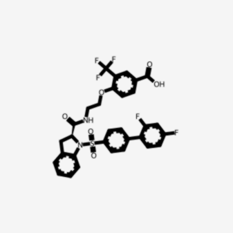 O=C(O)c1ccc(OCCNC(=O)[C@@H]2Cc3ccccc3N2S(=O)(=O)c2ccc(-c3ccc(F)cc3F)cc2)c(C(F)(F)F)c1